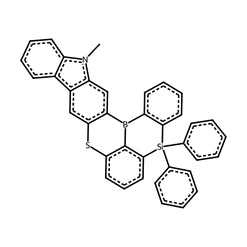 Cn1c2ccccc2c2cc3c(cc21)B1c2ccccc2[Si](c2ccccc2)(c2ccccc2)c2cccc(c21)S3